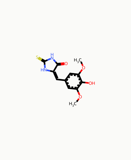 COc1cc(/C=C2/NC(=S)NC2=O)cc(OC)c1O